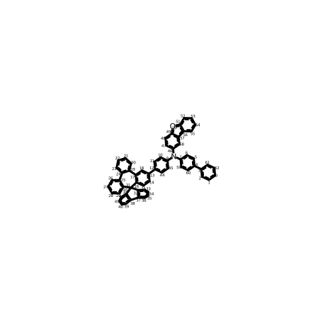 c1ccc(-c2ccc(N(c3ccc(-c4ccc5c(c4)-c4ccccc4-c4ccccc4C54c5ccccc5-c5ccccc54)cc3)c3ccc4oc5ccccc5c4c3)cc2)cc1